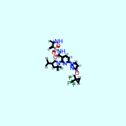 C=C(C(C)=N)S(=O)(=O)NC(=O)c1ccc(-n2ccc(OCC3(C(F)(F)F)CC3)n2)nc1N1CC(C(C)C)CC1(C)C